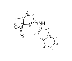 Cc1ncc(NC(=O)CN2CCCCC2)cc1[N+](=O)[O-]